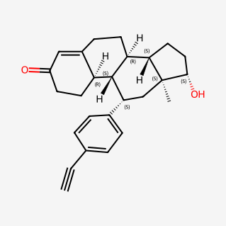 C#Cc1ccc([C@H]2C[C@]3(C)[C@@H](O)CC[C@H]3[C@@H]3CCC4=CC(=O)CC[C@@H]4[C@H]32)cc1